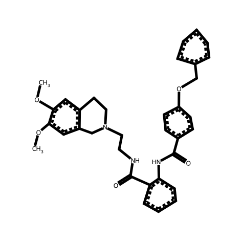 COc1cc2c(cc1OC)CN(CCNC(=O)c1ccccc1NC(=O)c1ccc(OCc3ccccc3)cc1)CC2